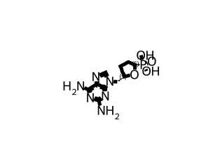 Nc1nc(N)c2ncn(C[C@@H]3CC[C@H](P(=O)(O)O)O3)c2n1